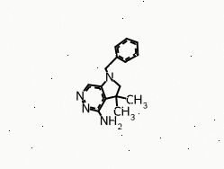 CC1(C)CN(Cc2ccccc2)c2cnnc(N)c21